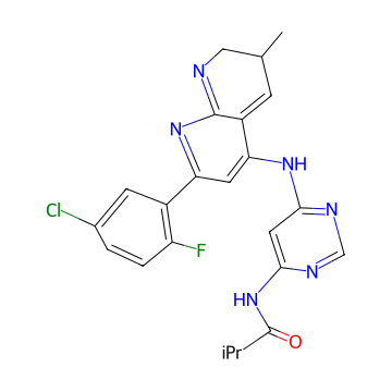 CC1C=c2c(Nc3cc(NC(=O)C(C)C)ncn3)cc(-c3cc(Cl)ccc3F)nc2=NC1